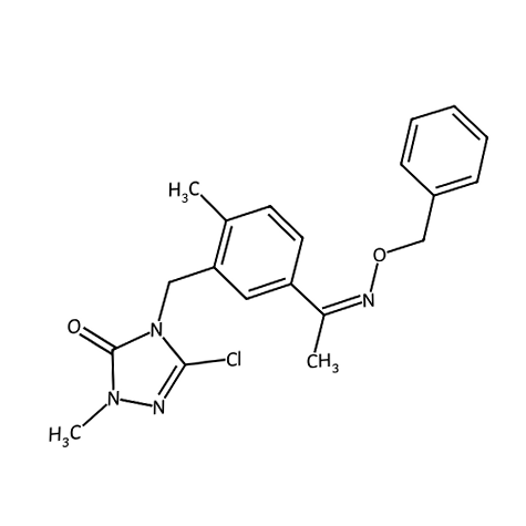 CC(=NOCc1ccccc1)c1ccc(C)c(Cn2c(Cl)nn(C)c2=O)c1